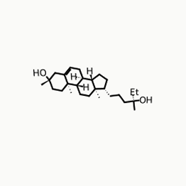 CC[C@@](C)(O)CCC[C@H]1CC[C@H]2[C@@H]3CC=C4C[C@@](C)(O)CC[C@]4(C)[C@H]3CC[C@]12C